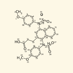 COc1ccc(N(c2cc(CCC(=O)O)c(N(c3ccc(OC)cc3)[SH](=O)=O)c3ccccc23)[SH](=O)=O)cc1